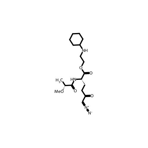 CO[C@H](C)C(=O)N[C@@H](CCC(=O)C=[N+]=[N-])C(=O)OCCNC1CCCCC1